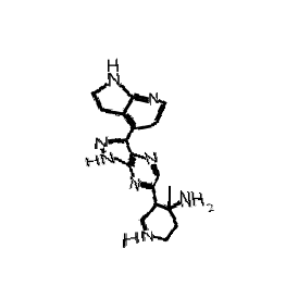 CC1(N)CCNCC1c1cnc2c(-c3ccnc4c3CCN4)n[nH]c2n1